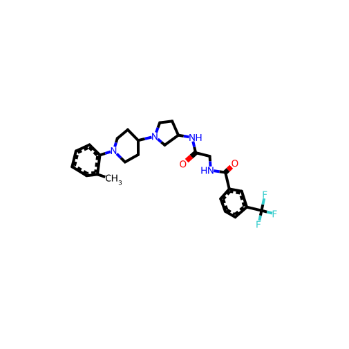 Cc1ccccc1N1CCC(N2CCC(NC(=O)CNC(=O)c3cccc(C(F)(F)F)c3)C2)CC1